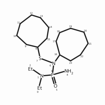 CCN(CC)P(N)(=O)N(SC1CCCCCCC1)C1CCCCCCC1